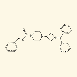 O=C(OCc1ccccc1)N1CCN(C2CN(C(c3ccccc3)c3ccccc3)C2)CC1